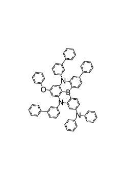 c1ccc(Oc2cc3c4c(c2)N(c2cccc(-c5ccccc5)c2)c2cc(N(c5ccccc5)c5ccccc5)ccc2B4c2ccc(-c4ccccc4)cc2N3c2cccc(-c3ccccc3)c2)cc1